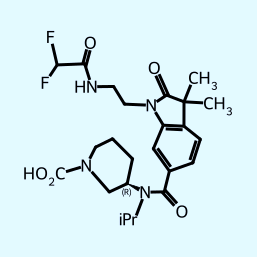 CC(C)N(C(=O)c1ccc2c(c1)N(CCNC(=O)C(F)F)C(=O)C2(C)C)[C@@H]1CCCN(C(=O)O)C1